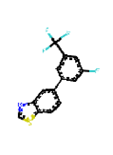 Fc1cc(-c2ccc3scnc3c2)cc(C(F)(F)F)c1